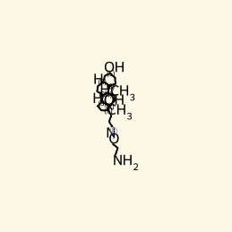 C[C@]12CC[C@H](O)C[C@H]1CC[C@@H]1[C@@H]2CC[C@]2(C)[C@@H](CC/C=N/OCCCN)CC[C@]12O